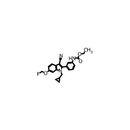 CCOC(=O)Nc1cccc(-c2c(C#N)c3ccc(OCF)cc3n2CC2CC2)c1